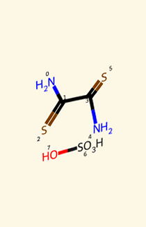 NC(=S)C(N)=S.O=S(=O)(O)O